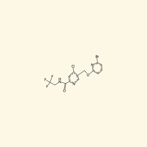 O=C(NCC(F)(F)F)c1cc(Cl)c(COc2cccc(Br)n2)cn1